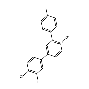 [O-][n+]1ccc(-c2ccc(Cl)c(F)c2)cc1-c1ccc(F)cc1